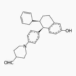 O=CC1CCN(c2ccc([C@@H]3c4ccc(O)cc4CC[C@@H]3C3C=CC=CC3)cc2)CC1